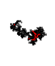 CC[C@H](C)[C@H](NC(=O)[C@H](CC(C)C)NC(=O)CNC(=O)[C@H](CCCCN)NC(=O)[C@@H]1CCCN1C(=O)[C@@H]1CCCN1C(=O)[C@H](CCC(N)=O)NC(=O)CNC(=O)[C@@H]1CCCN1C(=O)[C@@H](N)CCCCN)C(=O)N[C@@H](Cc1ccc(O)cc1)C(=O)N[C@@H](CC(C)C)C(=O)N[C@@H](CO)C(=O)N[C@@H](CO)C(=O)N[C@H](C(=O)N[C@@H](CC(C)C)C(=O)N[C@@H](C)C(=O)N[C@@H](CO)C(=O)NCC(=O)N[C@H](C(=O)O)C(C)C)[C@@H](C)O